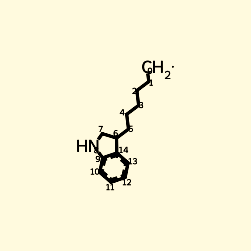 [CH2]CCCCCC1CNc2ccccc21